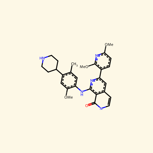 COc1ccc(-c2cc3c(c(Nc4cc(C)c(C5CCNCC5)cc4OC)n2)C(=O)[N]C=C3)c(OC)n1